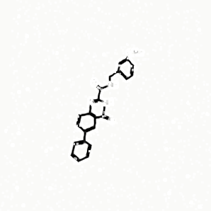 COc1cccc(CNC(=O)c2nc3ccc(-c4ccccc4)cc3c(=O)[nH]2)c1